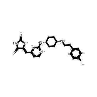 O=C1NC(=O)C(=Cc2ccnc(N[C@H]3CC[C@H](NCCc4ccc(F)cc4)CC3)n2)S1